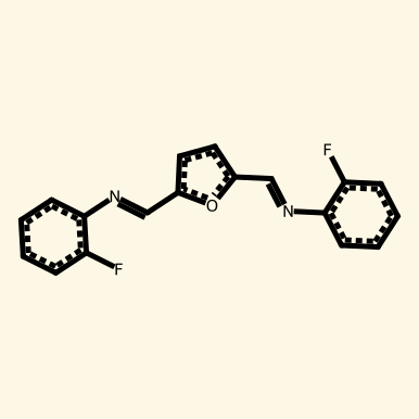 Fc1ccccc1N=Cc1ccc(C=Nc2ccccc2F)o1